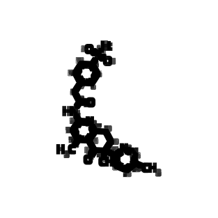 CCS(=O)(=O)c1ccc(CC(=O)Nc2cc(C)c3c(n2)CCC(C)(c2ccc(C)nn2)C3=O)cc1